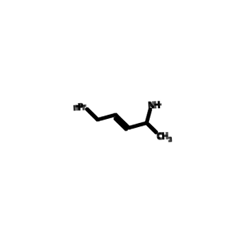 CCCC/C=C/C(C)[NH]